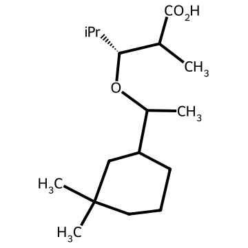 CC(O[C@H](C(C)C)C(C)C(=O)O)C1CCCC(C)(C)C1